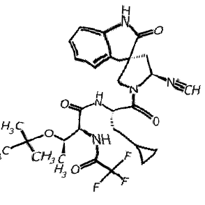 C#[N+][C@@H]1C[C@@]2(CN1C(=O)[C@H](CC1CC1)NC(=O)[C@@H](NC(=O)C(F)(F)F)[C@@H](C)OC(C)(C)C)C(=O)Nc1ccccc12